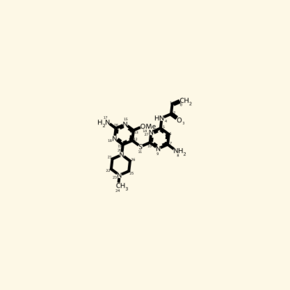 C=CC(=O)Nc1cc(N)nc(Sc2c(OC)nc(N)nc2N2CCN(C)CC2)n1